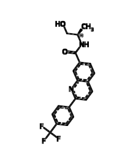 C[C@H](CO)NC(=O)c1ccc2ccc(-c3ccc(C(F)(F)F)cc3)nc2c1